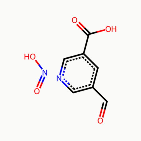 O=Cc1cncc(C(=O)O)c1.O=NO